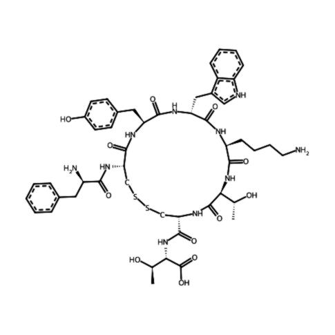 C[C@@H](O)[C@H](NC(=O)[C@@H]1CSSC[C@H](NC(=O)[C@H](N)Cc2ccccc2)C(=O)N[C@@H](Cc2ccc(O)cc2)C(=O)N[C@H](Cc2c[nH]c3ccccc23)C(=O)N[C@@H](CCCCN)C(=O)N[C@@H]([C@@H](C)O)C(=O)N1)C(=O)O